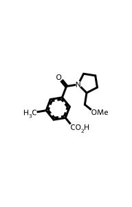 COCC1CCCN1C(=O)c1cc(C)cc(C(=O)O)c1